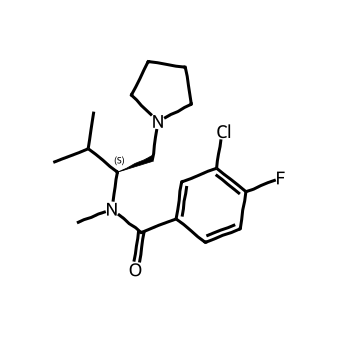 CC(C)[C@@H](CN1CCCC1)N(C)C(=O)c1ccc(F)c(Cl)c1